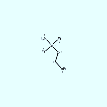 CCCCCO[Si](N)(CC)CC